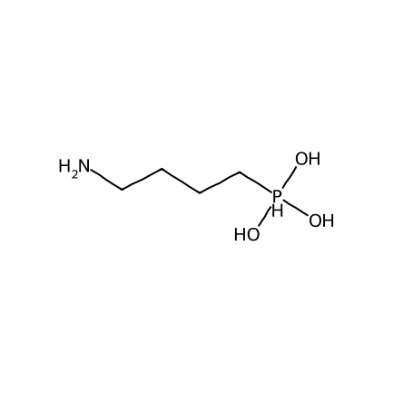 NCCCC[PH](O)(O)O